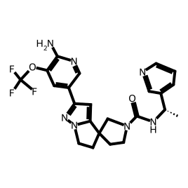 C[C@H](NC(=O)N1CCC2(CCn3nc(-c4cnc(N)c(OC(F)(F)F)c4)cc32)C1)c1cccnc1